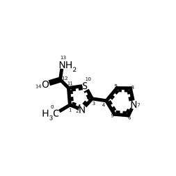 Cc1nc(-c2ccncc2)sc1C(N)=O